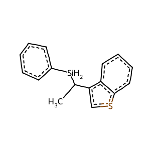 CC([SiH2]c1ccccc1)c1csc2ccccc12